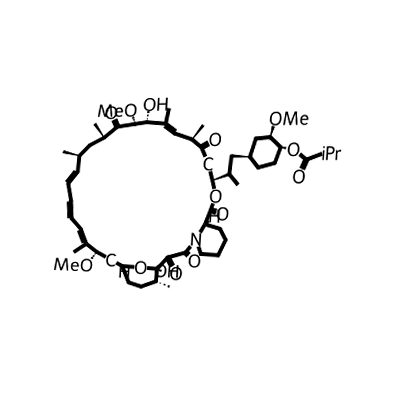 CO[C@H]1C[C@@H]2CC[C@@H](C)[C@@](O)(O2)C(=O)C(=O)N2CCCC[C@H]2C(=O)O[C@H](C(C)C[C@@H]2CC[C@@H](OC(=O)C(C)C)[C@H](OC)C2)CC(=O)[C@H](C)/C=C(\C)[C@@H](O)[C@@H](OC)C(=O)[C@H](C)C[C@H](C)/C=C/C=C/C=C/1C